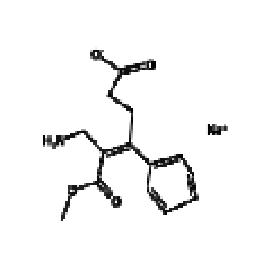 COC(=O)/C(CN)=C(/CCC(=O)[O-])c1ccccc1.[Na+]